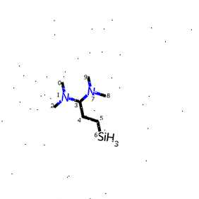 CN(C)C(CC[SiH3])N(C)C